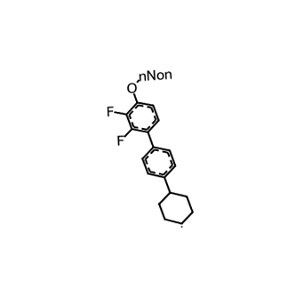 CCCCCCCCCOc1ccc(-c2ccc(C3CC[CH]CC3)cc2)c(F)c1F